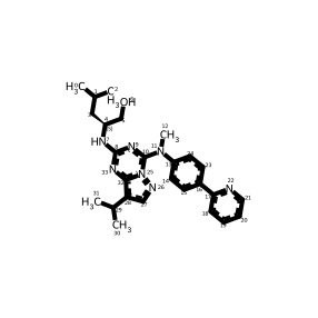 CC(C)C[C@@H](CO)Nc1nc(N(C)c2ccc(-c3ccccn3)cc2)n2ncc(C(C)C)c2n1